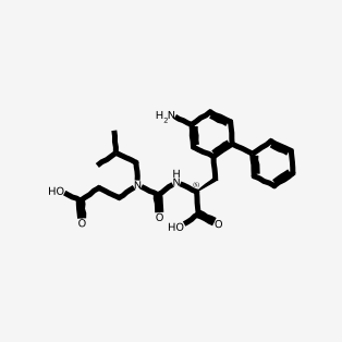 CC(C)CN(CCC(=O)O)C(=O)N[C@@H](Cc1cc(N)ccc1-c1ccccc1)C(=O)O